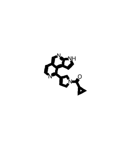 O=C(C1CC1)N1CC=C(c2nccc3cnc4[nH]ccc4c23)C1